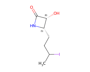 CC(I)CC[C@@H]1NC(=O)[C@@H]1O